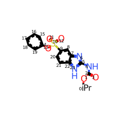 CC(C)OC(=O)Nc1nc2cc(S(=O)(=O)Oc3ccccc3)ccc2[nH]1